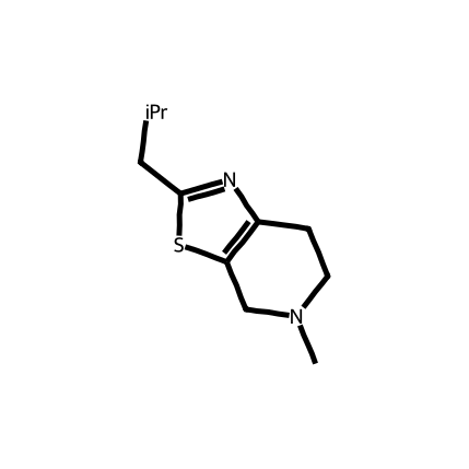 CC(C)Cc1nc2c(s1)CN(C)CC2